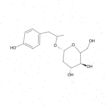 CC(Cc1ccc(O)cc1)O[C@H]1C[C@@H](O)[C@H](O)C(CO)O1